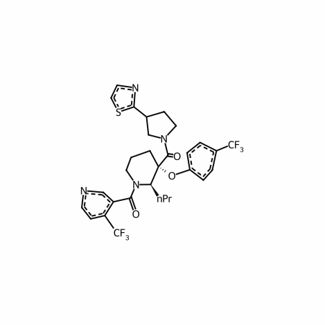 CCC[C@H]1N(C(=O)c2cnccc2C(F)(F)F)CCC[C@@]1(Oc1ccc(C(F)(F)F)cc1)C(=O)N1CCC(c2nccs2)C1